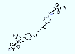 CCCS(=O)(=O)O/N=C(\C)c1ccc(OCCCOc2ccc(C(NOS(=O)(=O)CCC)C(F)(F)F)cc2)cc1